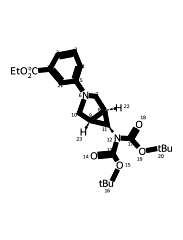 CCOC(=O)c1cccc(N2C[C@@H]3[C@H](C2)[C@H]3N(C(=O)OC(C)(C)C)C(=O)OC(C)(C)C)c1